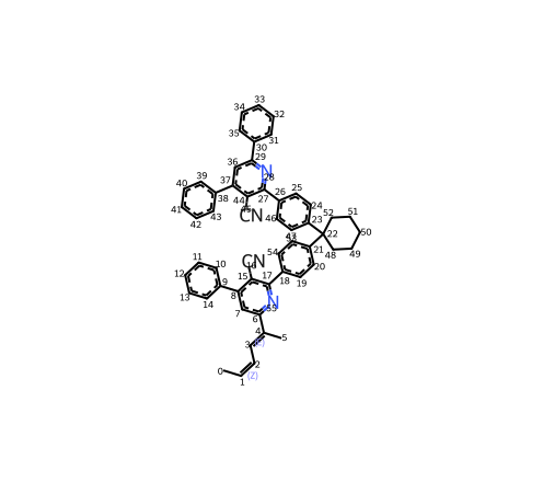 C/C=C\C=C(/C)c1cc(-c2ccccc2)c(C#N)c(-c2ccc(C3(c4ccc(-c5nc(-c6ccccc6)cc(-c6ccccc6)c5C#N)cc4)CCCCC3)cc2)n1